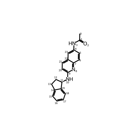 CC(=O)Nc1ccc2nc(N[C@@H]3CCc4ccccc43)ccc2c1